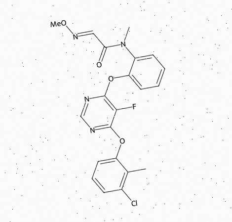 CON=CC(=O)N(C)c1ccccc1Oc1ncnc(Oc2cccc(Cl)c2C)c1F